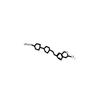 CCCCCC1CCC(C2CCC(CCc3ccc4c(c3)COC(C(F)(F)F)C4)CC2)CC1